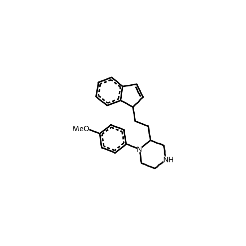 COc1ccc(N2CCNCC2CCC2C=Cc3ccccc32)cc1